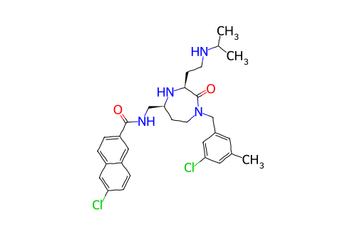 Cc1cc(Cl)cc(CN2CC[C@@H](CNC(=O)c3ccc4cc(Cl)ccc4c3)N[C@@H](CCNC(C)C)C2=O)c1